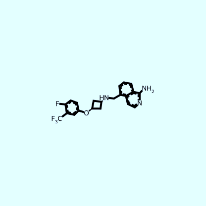 Nc1nccc2c(CN[C@H]3C[C@H](Oc4ccc(F)c(C(F)(F)F)c4)C3)cccc12